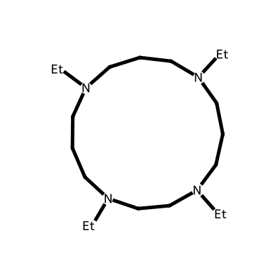 CCN1CCCN(CC)CCCN(CC)CCN(CC)CCC1